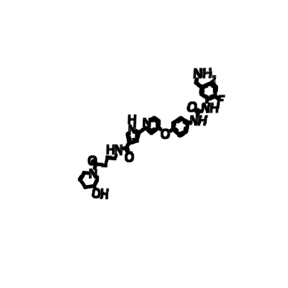 NCc1ccc(F)c(NC(=O)Nc2ccc(Oc3ccnc(-c4cc(C(=O)NCCCC(=O)N5CCCC(O)C5)c[nH]4)c3)cc2)c1